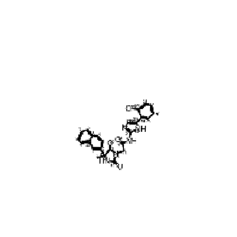 CC1(c2ccc3ccccc3c2)NC(=O)N(CC(=O)Nc2nnc(-c3ccccc3Cl)[nH]2)C1=O